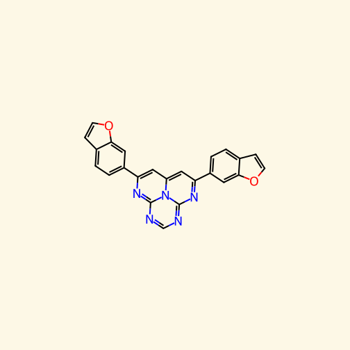 C1=NC2=NC(c3ccc4ccoc4c3)=CC3=CC(c4ccc5ccoc5c4)=NC(=N1)N32